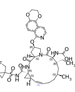 CC[C@@H]1C[C@@H](C)CC/C=C\[C@@H]2C[C@@]2(C(=O)NS(=O)(=O)C2(CF)CC2)NC(=O)[C@@H]2C[C@@H](Oc3nccc4c5c(ccc34)OCCO5)CN2C(=O)[C@H]1NC(=O)O